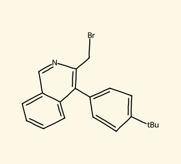 CC(C)(C)c1ccc(-c2c(CBr)ncc3ccccc23)cc1